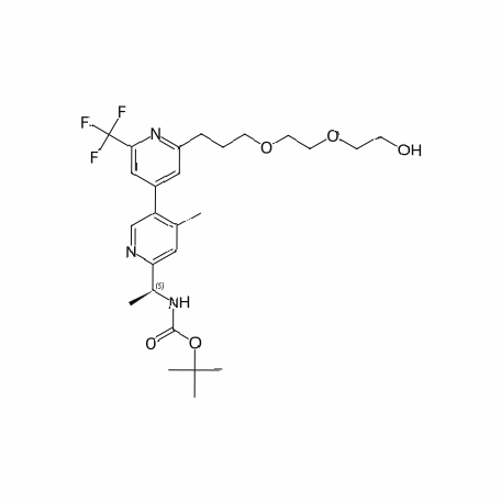 Cc1cc([C@H](C)NC(=O)OC(C)(C)C)ncc1-c1cc(CCCOCCOCCO)nc(C(F)(F)F)c1